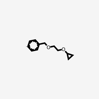 [c]1ccc(COCCOC2CC2)cc1